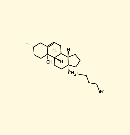 CC(C)CCCC[C@H]1CC[C@H]2[C@@H]3CC=C4C[C@@H](F)CC[C@]4(C)[C@H]3CC[C@]12C